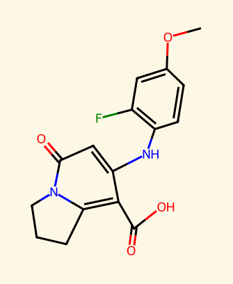 COc1ccc(Nc2cc(=O)n3c(c2C(=O)O)CCC3)c(F)c1